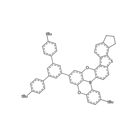 CC(C)(C)c1ccc(-c2cc(-c3ccc(C(C)(C)C)cc3)cc(-c3cc4c5c(c3)Oc3c(ccc6sc7c8c(ccc7c36)CCC8)B5c3cc(C(C)(C)C)ccc3O4)c2)cc1